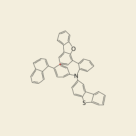 c1ccc(N(c2ccc(-c3cccc4ccccc34)cc2)c2ccc3sc4ccccc4c3c2)c(-c2cccc3c2oc2ccccc23)c1